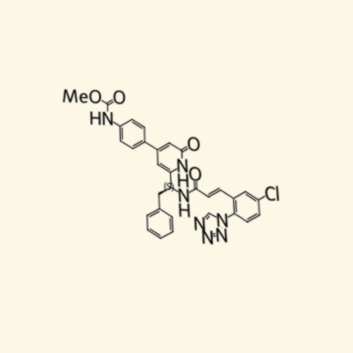 COC(=O)Nc1ccc(-c2cc([C@H](Cc3ccccc3)NC(=O)C=Cc3cc(Cl)ccc3-n3cnnn3)[nH]c(=O)c2)cc1